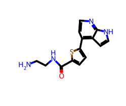 NCCNC(=O)c1ccc(-c2ccnc3[nH]ccc23)s1